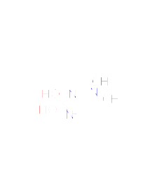 CN(C)C1=NS(O)(O)N=C1